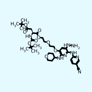 CC(C)(C)OC(=O)C[C@H](NC(=O)OC(C)(C)C)C(=O)OCCOCCOc1cc(NN)c(Nc2ccc(C#N)cn2)nc1NC1CCOCC1